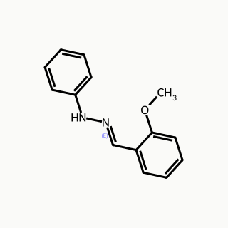 COc1ccccc1/C=N/Nc1ccccc1